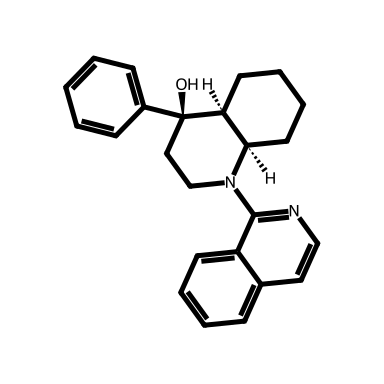 O[C@]1(c2ccccc2)CCN(c2nccc3ccccc23)[C@@H]2CCCC[C@@H]21